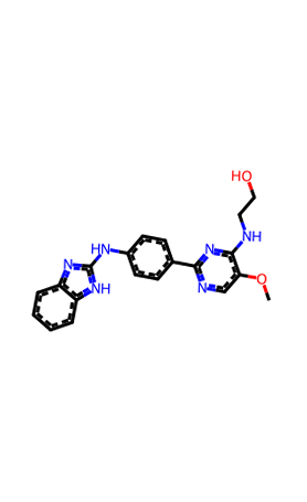 COc1cnc(-c2ccc(Nc3nc4ccccc4[nH]3)cc2)nc1NCCO